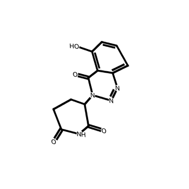 O=C1CCC(n2nnc3cccc(O)c3c2=O)C(=O)N1